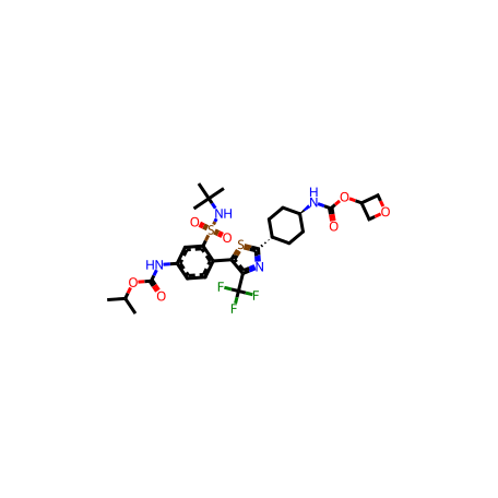 CC(C)OC(=O)Nc1ccc(-c2sc([C@H]3CC[C@H](NC(=O)OC4COC4)CC3)nc2C(F)(F)F)c(S(=O)(=O)NC(C)(C)C)c1